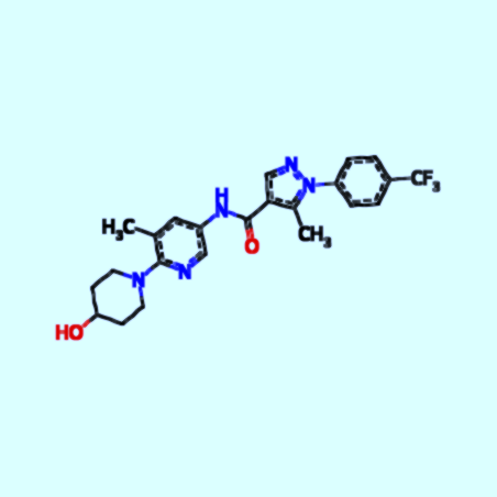 Cc1cc(NC(=O)c2cnn(-c3ccc(C(F)(F)F)cc3)c2C)cnc1N1CCC(O)CC1